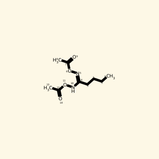 CCCCC(=NOC(C)=O)NOC(C)=O